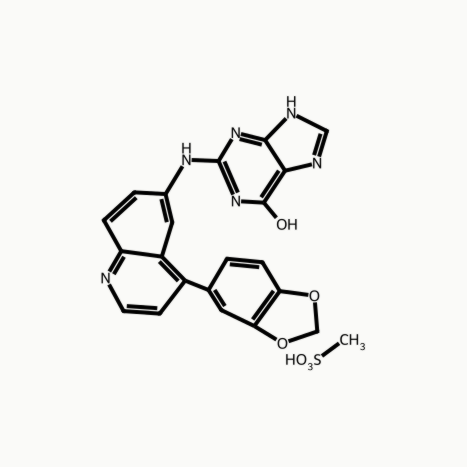 CS(=O)(=O)O.Oc1nc(Nc2ccc3nccc(-c4ccc5c(c4)OCO5)c3c2)nc2[nH]cnc12